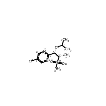 CC(C)O[C@@H](c1ncc(Cl)cn1)[C@H](C)S(N)(=O)=O